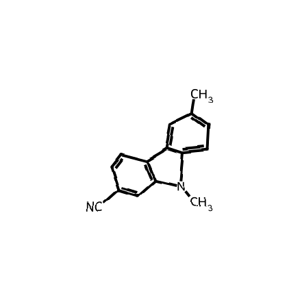 Cc1ccc2c(c1)c1ccc(C#N)cc1n2C